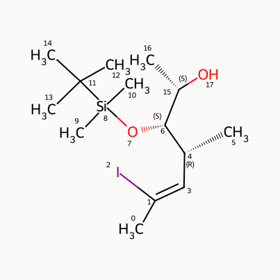 CC(I)=C[C@@H](C)[C@H](O[Si](C)(C)C(C)(C)C)[C@H](C)O